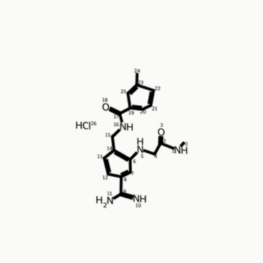 CNC(=O)CNc1cc(C(=N)N)ccc1CNC(=O)c1cccc(C)c1.Cl